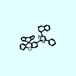 c1ccc(-c2cc(-c3cccc4ccccc34)nc(-c3ccc4c(c3)C3(c5ccccc5O4)c4ccccc4-c4ccccc43)n2)cc1